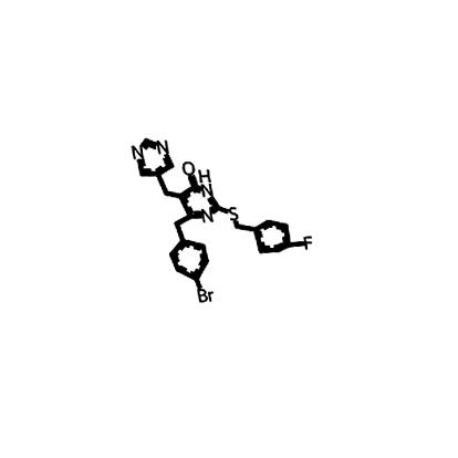 O=c1[nH]c(SCc2ccc(F)cc2)nc(Cc2ccc(Br)cc2)c1Cc1cncnc1